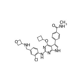 CNC(=O)c1ccc(-c2c[nH]c3nc(Nc4ccc(CNC5COC5)cc4Cl)nc(OC4CCC4)c23)cc1